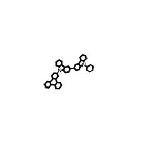 C1=CCCC(n2c3ccccc3c3cc(-c4ccc5c(c4)c4ccccc4n5-c4ccc5c6ccccc6c6ccccc6c5c4)ccc32)=C1